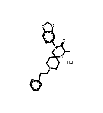 CC1OC2(CCN(CCc3ccccc3)CC2)CN(c2ccc3c(c2)OCO3)C1=O.Cl